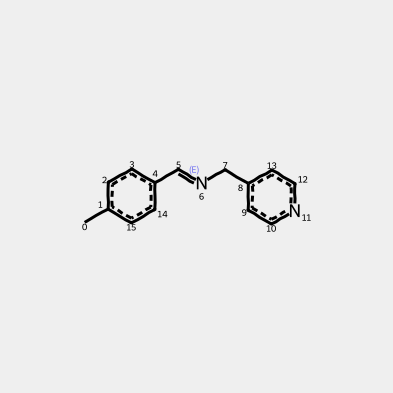 Cc1ccc(/C=N/Cc2ccncc2)cc1